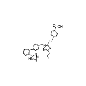 CCCc1nc(CCc2ccc(C(=O)O)cc2)n(Cc2ccc(-c3ccccc3-c3nnn[nH]3)cc2)n1